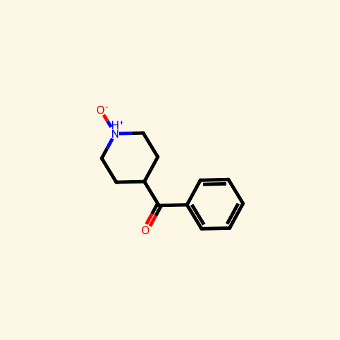 O=C(c1ccccc1)C1CC[NH+]([O-])CC1